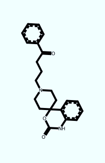 O=C1Nc2ccccc2C2(CCN(CCCC(=O)c3ccccc3)CC2)O1